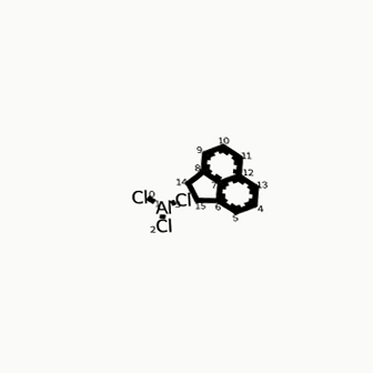 [Cl][Al]([Cl])[Cl].c1cc2c3c(cccc3c1)CC2